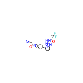 N#CCC(=O)N1CC2(CCC(c3cccc4nc(NC(=O)C5CC5(F)F)nn34)CC2)C1